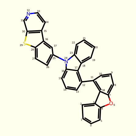 c1ccc2c(c1)oc1cccc(-c3cccc4c3c3ccccc3n4-c3ccc4sc5cnccc5c4c3)c12